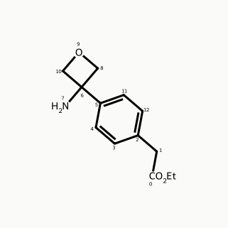 CCOC(=O)Cc1ccc(C2(N)COC2)cc1